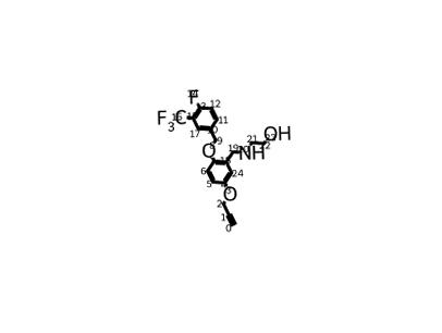 C#CCOc1ccc(OCc2ccc(F)c(C(F)(F)F)c2)c(CNCCO)c1